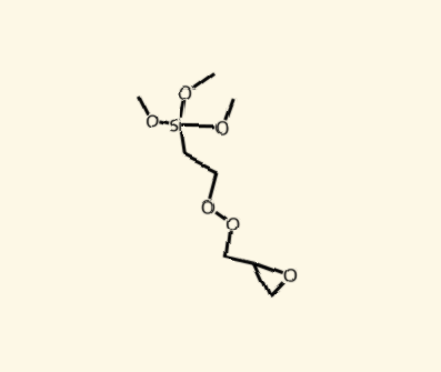 CO[Si](CCOOCC1CO1)(OC)OC